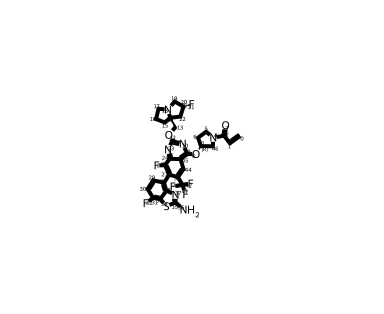 C=CC(=O)N1CC[C@@H](Oc2nc(OC[C@@]34CCCN3C[C@H](F)C4)nc3c(F)c(-c4ccc(F)c5sc(N)nc45)c(C(F)(F)F)cc23)C1